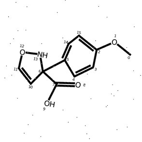 COc1ccc(C2(C(=O)O)C=CON2)cc1